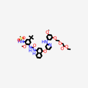 CCOC(=O)COCCOc1cc(Nc2cc(Oc3ccc(NC(=O)Nc4cc(C(C)(C)C)cc(NS(C)(=O)=O)c4OC)c4ccccc34)ccn2)cc(OC)c1